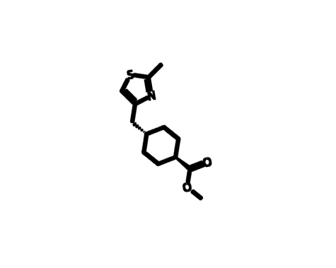 COC(=O)[C@H]1CC[C@H](Cc2csc(C)n2)CC1